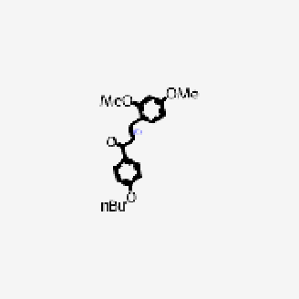 CCCCOc1ccc(C(=O)/C=C/c2ccc(OC)cc2OC)cc1